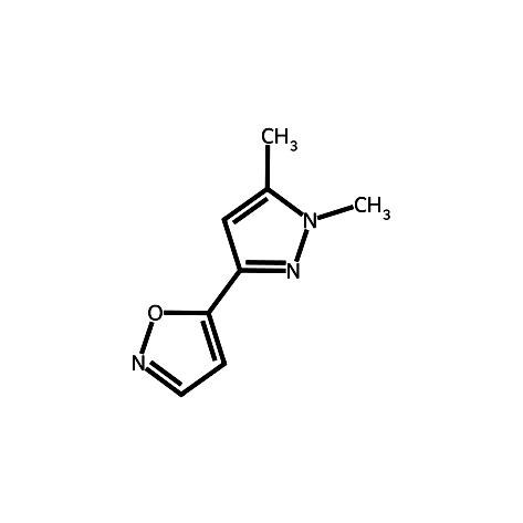 Cc1cc(-c2ccno2)nn1C